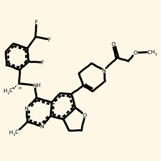 COCC(=O)N1CC=C(c2cc3c(N[C@H](C)c4cccc(C(F)F)c4F)nc(C)nc3c3c2OCC3)CC1